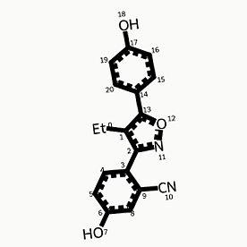 CCc1c(-c2ccc(O)cc2C#N)noc1-c1ccc(O)cc1